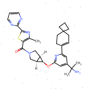 Cc1nc(-c2ncccn2)sc1C(=O)N1C[C@@H]2[C@H](C1)[C@@H]2Oc1cc(C(C)(C)N)cc(C2=CCC3(CCC3)CC2)n1